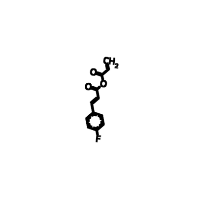 C=CC(=O)OC(=O)C=Cc1ccc(F)cc1